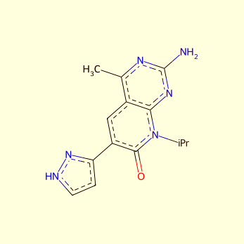 Cc1nc(N)nc2c1cc(-c1cc[nH]n1)c(=O)n2C(C)C